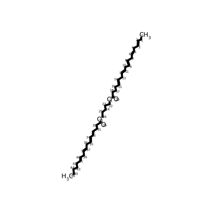 CCC=CCC=CCC=CCC=CCC=CCCCC(=O)OCCCCCOC(=O)CCCCC=CCC=CCC=CCCCCC